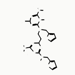 CC1N=C(N(C)C)N(C)C(N(CCC2N=C(N(C)C)NC(N(C)Cc3ccco3)=N2)Cc2ccco2)=N1